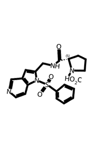 O=C(NCc1cc2cnccc2n1S(=O)(=O)c1ccccc1)[C@@H]1CCCN1C(=O)O